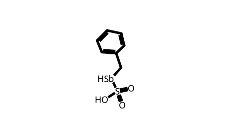 O=[S](=O)(O)[SbH][CH2]c1ccccc1